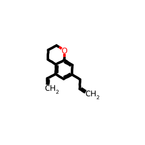 C=CCc1cc(C=C)c2c(c1)OCCC2